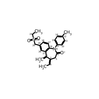 C=C1/C(=C\C)CC(=O)N(c2ccc(C)cc2)c2ccc(CS(=O)(=O)CC)cc21